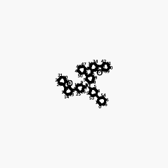 C1=CC(c2ccc(N(c3ccc(-c4cccc5c4oc4ccccc45)cc3)c3ccc(-c4cccc5c4oc4ccccc45)c(-c4ccccc4)c3)cc2)=CCC1